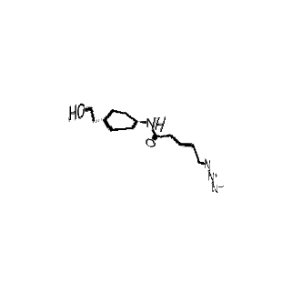 [N-]=[N+]=NCCCCC(=O)N[C@H]1CC[C@H](CCO)CC1